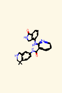 CC1(C)CNCc2cc(NC(=O)c3cccnc3Nc3cccc4c3CNC4=O)ccc21